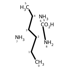 CCCCCC.N.N.NC(=O)O